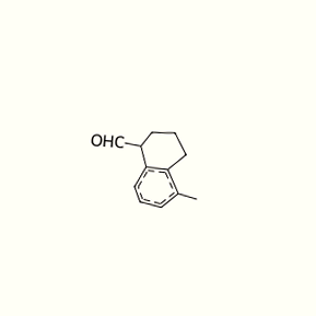 Cc1cccc2c1CCCC2C=O